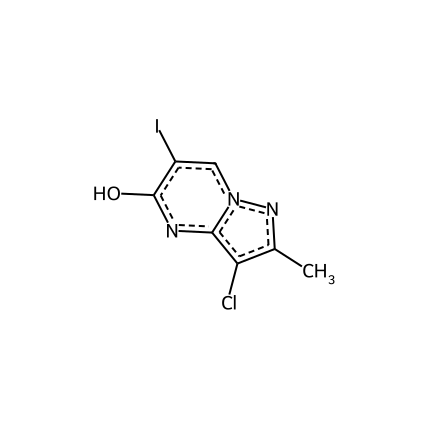 Cc1nn2cc(I)c(O)nc2c1Cl